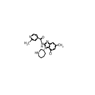 Cc1cc(Cl)c2c(c1)nc(NC(=O)c1ccnc(C)c1)n2[C@@H]1CCCCNC1